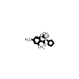 Cc1cc(C)c(C(=O)P(=O)(C(C)C)C2CCCC2)c(C)c1